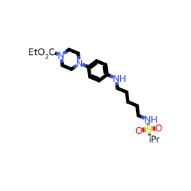 CCOC(=O)N1CCN(c2ccc(NCCCCCNS(=O)(=O)C(C)C)cc2)CC1